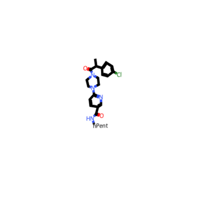 CCCCCNC(=O)c1ccc(N2CCN(C(=O)C(C)c3ccc(Cl)cc3)CC2)nc1